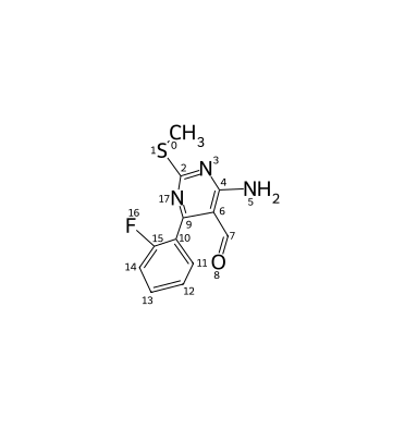 CSc1nc(N)c(C=O)c(-c2ccccc2F)n1